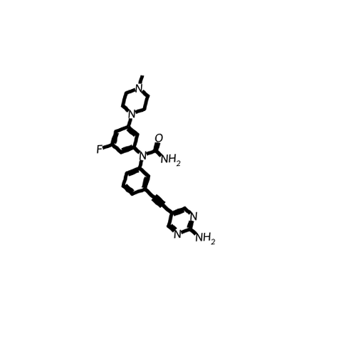 CN1CCN(c2cc(F)cc(N(C(N)=O)c3cccc(C#Cc4cnc(N)nc4)c3)c2)CC1